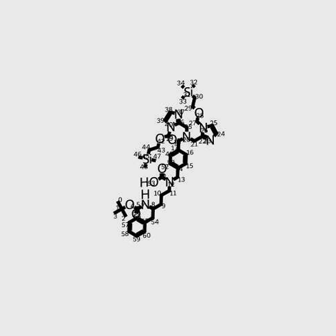 CC(C)(C)OC(=O)NC(CCCN(Cc1ccc(C(=O)N(Cc2nccn2COCC[Si](C)(C)C)Cc2nccn2COCC[Si](C)(C)C)cc1)C(=O)O)Cc1ccccc1